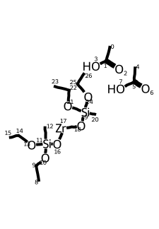 CC(=O)O.CC(=O)O.CCO[Si](C)(OCC)[O][Zr][O][Si](C)(OCC)OCC